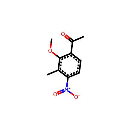 COc1c(C(C)=O)ccc([N+](=O)[O-])c1C